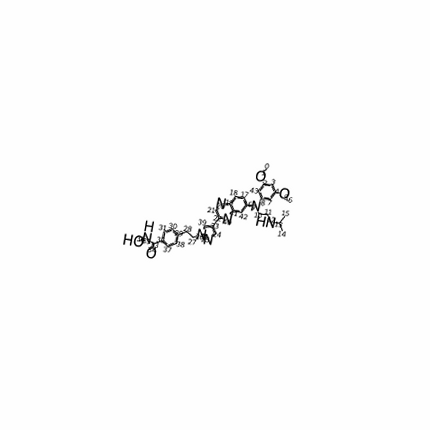 COc1cc(OC)cc(N(CCNC(C)C)c2ccc3ncc(-c4cnn(CCc5ccc(C(=O)NO)cc5)c4)nc3c2)c1